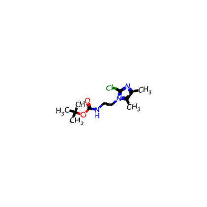 Cc1nc(Cl)n(CCNC(=O)OC(C)(C)C)c1C